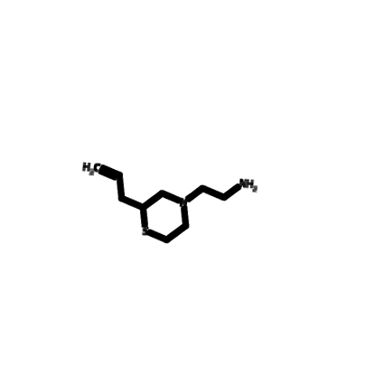 C=CCC1CN(CCN)CCS1